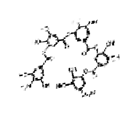 CCOC(=O)c1cc(O)c(O)c(OC(=O)c2cc(O)c(O)c(OC(=O)c3cc(O)c(O)c(OC(=O)c4cc(O)c(O)c(OC(=O)c5cc(O)c(N)c(O)c5)c4)c3)c2)c1